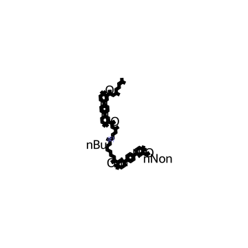 CCCCCCCCCC(=O)C1=CN(c2ccc(N3C=C(C(=O)CCCCC(CCCC)C/C(C)=C/CCC(C)CC(=O)C4=CN(c5ccc(N6C=C(C(=O)CC(C)CCC=C(C)C)C(C)(C)CC6)cc5)CCC4(C)C)C(C)(C)CC3)cc2)CCC1(C)C